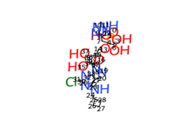 O=P(O)(O)C(CO)(Cc1nn[nH]n1)OC[C@H]1O[C@@H](n2ncc3c(NCC4CCC4)nc(Cl)nc32)[C@H](O)[C@@H]1O